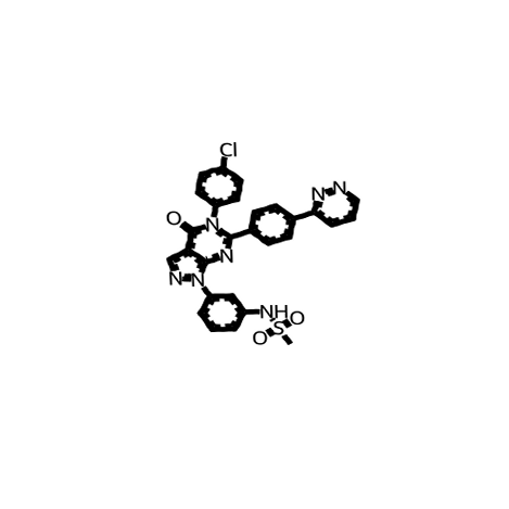 CS(=O)(=O)Nc1cccc(-n2ncc3c(=O)n(-c4ccc(Cl)cc4)c(-c4ccc(-c5cccnn5)cc4)nc32)c1